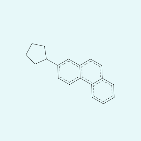 c1ccc2c(c1)ccc1cc(C3CCCC3)ccc12